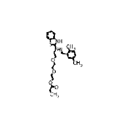 C=CC(=O)OCCOCCOCCN(/N=C/c1cc(C)ccc1C)C1Nc2ccccc2S1